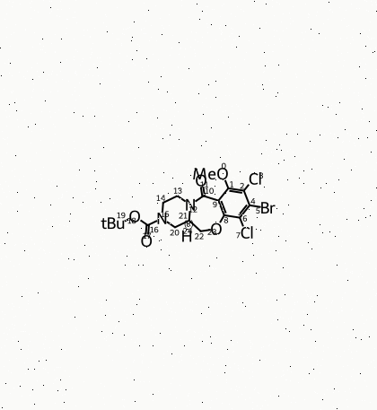 COc1c(Cl)c(Br)c(Cl)c2c1C(=O)N1CCN(C(=O)OC(C)(C)C)C[C@@H]1CO2